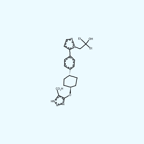 CCC(O)(CC)Cn1nccc1-c1ccc([C@H]2CC[C@H](Oc3nn[nH]c3C(=O)O)CC2)cc1